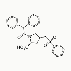 O=C(O)[C@@H]1C[C@H](CS(=O)(=O)c2ccccc2)CN1C(=O)C(c1ccccc1)c1ccccc1